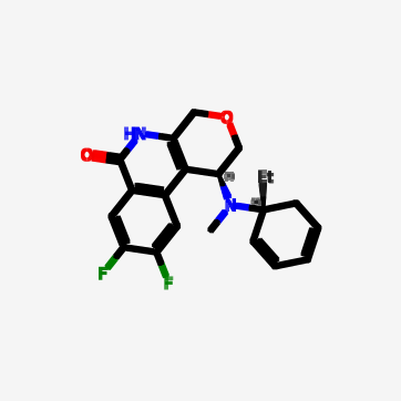 CC[C@]1(N(C)[C@@H]2COCc3[nH]c(=O)c4cc(F)c(F)cc4c32)C=CC=CC1